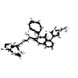 C[C@H](CNc1ncnc2[nH]cnc12)c1cc2cccc(-c3cnn(C)c3)c2c(=O)n1-c1ccccc1